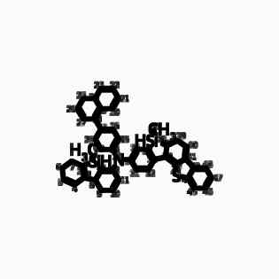 C[SiH]1C2=C(C=CCC2)C2CC=CC(N(C3=CC=C(C4=C5C=CC=CC5CC=C4)CC3)c3ccc4c(c3)[SiH](C)C3CC=c5c(sc6ccccc56)=C43)=C21